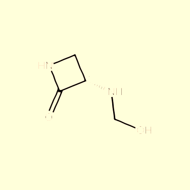 O=C1NC[C@@H]1NCO